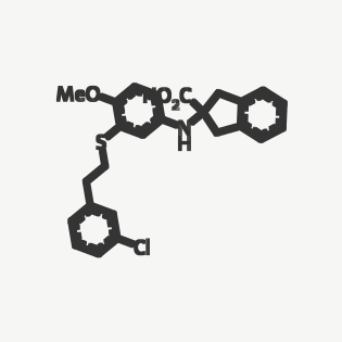 COc1ccc(NC2(C(=O)O)Cc3ccccc3C2)cc1SCCc1cccc(Cl)c1